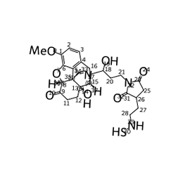 COc1ccc2c3c1O[C@H]1C(=O)CC[C@@]4(O)[C@@H](C2)N(C(O)CCN2C(=O)CC(CCNS)C2=O)C=C[C@]314